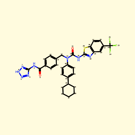 O=C(Nc1nn[nH]n1)c1ccc(CN(C(=O)Nc2nc3cc(C(F)(F)F)ccc3s2)c2ccc(C3CCCCC3)cc2)cc1